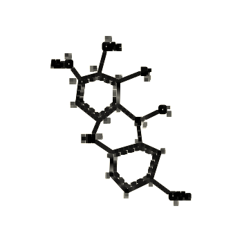 COc1ccc2c(c1)[S+]([O-])c1c(cc(OC)c(OC(C)=O)c1Br)N2